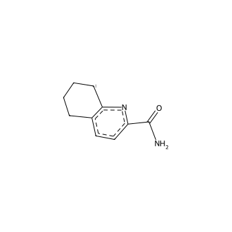 NC(=O)c1ccc2c(n1)[C]CCC2